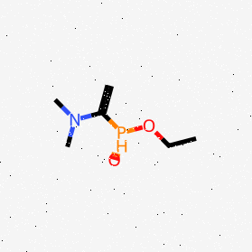 C=C(N(C)C)[PH](=O)OCC